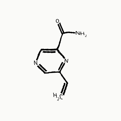 C=Cc1cncc(C(N)=O)n1